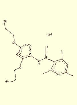 Cc1cc(C)c(C(=O)Pc2ccc(OCCC(C)C)cc2OCCC(C)C)c(C)c1.[LiH]